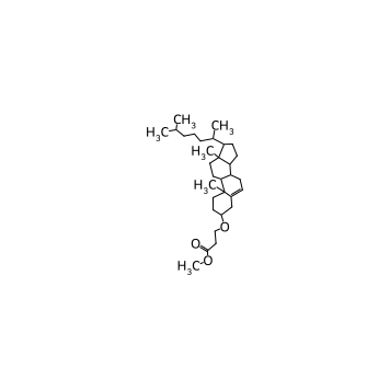 COC(=O)CCOC1CCC2(C)C(=CCC3C2CCC2(C)C(C(C)CCCC(C)C)CCC32)C1